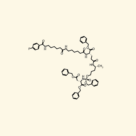 C[C@H](CCCOP(=O)(N[C@@H](CC(=O)OCc1ccccc1)C(=O)OCc1ccccc1)OCc1ccccc1)NC(=O)CC[C@H](NC(=O)CCCCCNC(=O)CCCCCNC(=O)c1ccc(F)cc1)C(=O)OCc1ccccc1